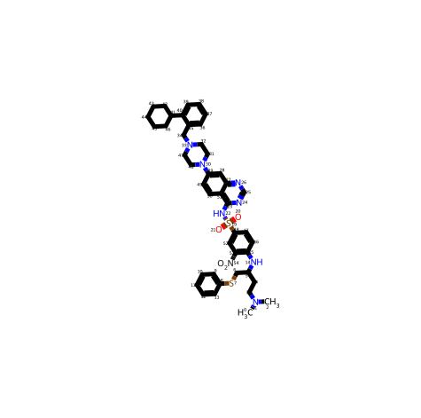 CN(C)CCC(CSc1ccccc1)Nc1ccc(S(=O)(=O)Nc2ncnc3cc(N4CCN(Cc5ccccc5C5CCCCC5)CC4)ccc23)cc1[N+](=O)[O-]